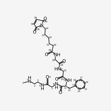 CNCCNC(=O)CNC(=O)[C@H](Cc1ccccc1)NC(=O)CNC(=O)CNC(=O)CCCCCN1C(=O)C=CC1=O